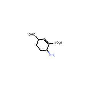 NC1CCC(C=O)C=C1S(=O)(=O)O